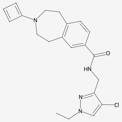 CCn1cc(Cl)c(CNC(=O)c2ccc3c(c2)CCN(C2=CC=C2)CC3)n1